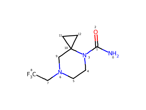 NC(=O)N1CCN(CC(F)(F)F)CC12CC2